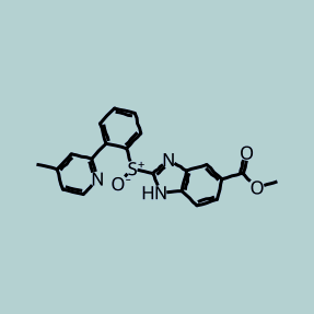 COC(=O)c1ccc2[nH]c([S+]([O-])c3ccccc3-c3cc(C)ccn3)nc2c1